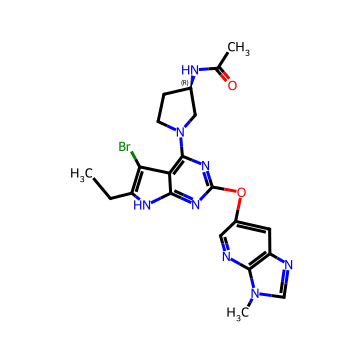 CCc1[nH]c2nc(Oc3cnc4c(c3)ncn4C)nc(N3CC[C@@H](NC(C)=O)C3)c2c1Br